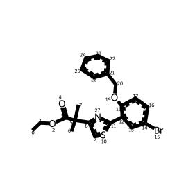 CCOC(=O)C(C)(C)c1csc(-c2cc(Br)ccc2OCc2ccccc2)n1